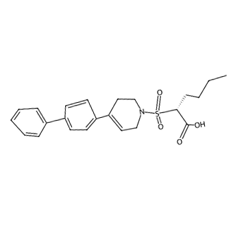 CCCC[C@H](C(=O)O)S(=O)(=O)N1CC=C(c2ccc(-c3ccccc3)cc2)CC1